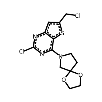 ClCc1cc2nc(Cl)nc(N3CCC4(C3)OCCO4)c2s1